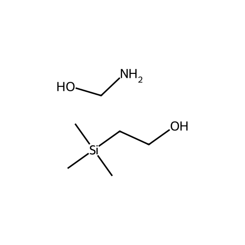 C[Si](C)(C)CCO.NCO